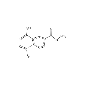 COC(=O)c1ccc([N+](=O)[O-])c(C(=O)O)c1